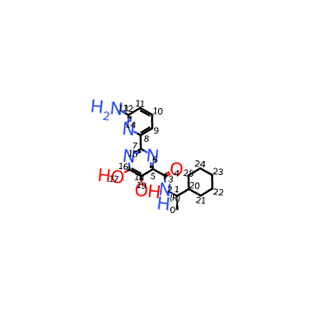 C[C@@H](NC(=O)c1nc(-c2cccc(N)n2)nc(O)c1O)C1CCCCC1